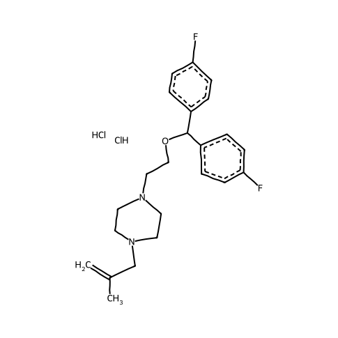 C=C(C)CN1CCN(CCOC(c2ccc(F)cc2)c2ccc(F)cc2)CC1.Cl.Cl